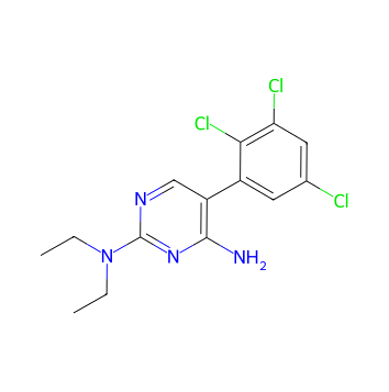 CCN(CC)c1ncc(-c2cc(Cl)cc(Cl)c2Cl)c(N)n1